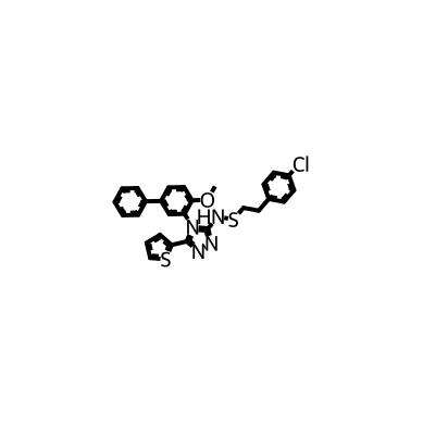 COc1ccc(-c2ccccc2)cc1-n1c(NSCCc2ccc(Cl)cc2)nnc1-c1cccs1